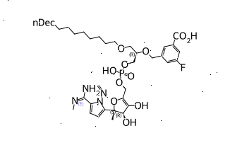 C=Nn1c(/C(N)=N\C)ccc1[C@]1(C)OC(COP(=O)(O)OC[C@@H](COCCCCCCCCCCCCCCCCCC)OCc2cc(F)cc(C(=O)O)c2)=C(O)[C@H]1O